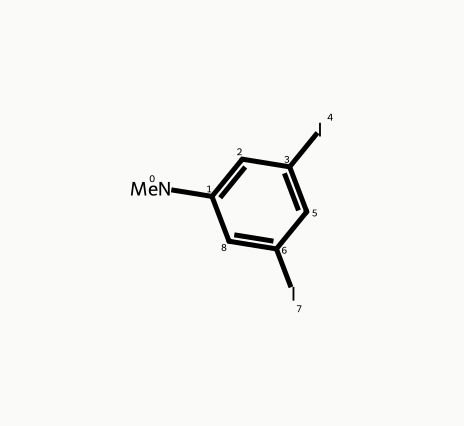 CNc1cc(I)cc(I)c1